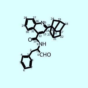 O=CC(Cc1ccccc1)NC(=O)c1cc(C23CC4CC(CC(C4)C2)C3)nc2ccccc12